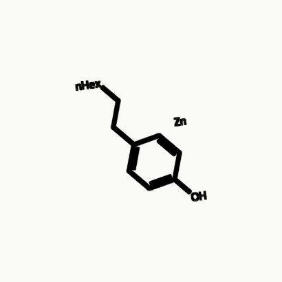 CCCCCCCCc1ccc(O)cc1.[Zn]